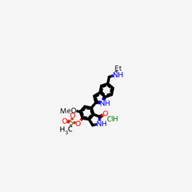 CCNCc1ccc2[nH]c(-c3cc(OC)c(OS(C)(=O)=O)c4c3C(=O)NC4)cc2c1.Cl